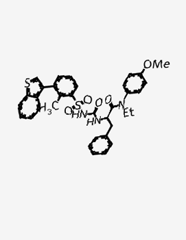 CCN(C(=O)C(Cc1ccccc1)NC(=O)NS(=O)(=O)c1cccc(-c2csc3ccccc23)c1C)c1ccc(OC)cc1